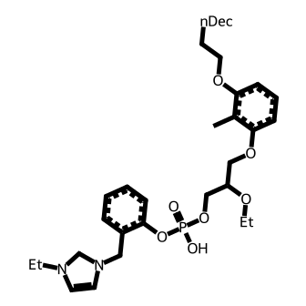 CCCCCCCCCCCCOc1cccc(OCC(COP(=O)(O)Oc2ccccc2CN2C=CN(CC)C2)OCC)c1C